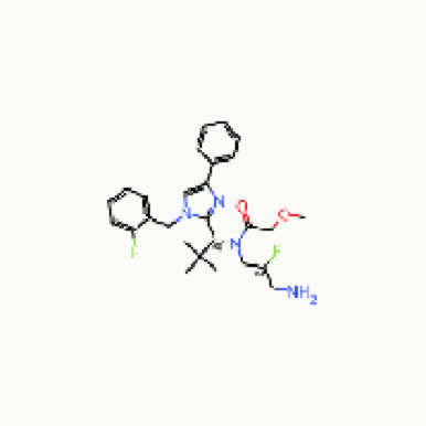 COCC(=O)N(C[C@@H](F)CN)[C@@H](c1nc(-c2ccccc2)cn1Cc1ccccc1F)C(C)(C)C